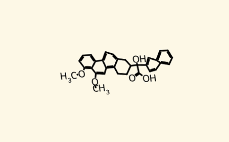 COc1cccc2c1c(OC)cc1c3c(ccc12)CC(C(O)(C(=O)O)c1ccc2ccccc2c1)CC3